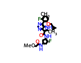 COCC(=O)N[C@@H]1C[C@@H](F)[C@H](NC(=O)c2c(C)[nH]c3c(-c4c(OCC5CC5)ccc(C)c4F)ncnc23)C1